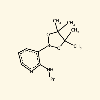 CC(C)Nc1ncccc1B1OC(C)(C)C(C)(C)O1